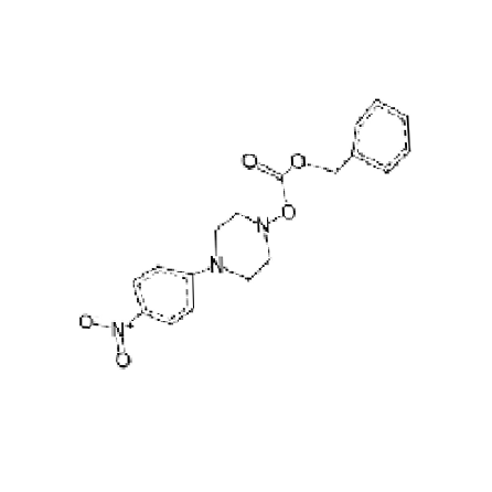 O=C(OCc1ccccc1)ON1CCN(c2ccc([N+](=O)[O-])cc2)CC1